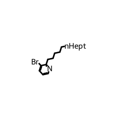 CCCCCCCCCCCCc1ncccc1Br